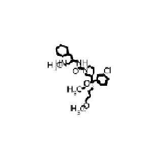 CCO[C@](CCCCOC)(c1cccc(Cl)c1)[C@@H]1CCCN(C(=O)NC(CNC)CC2CCCCC2)C1